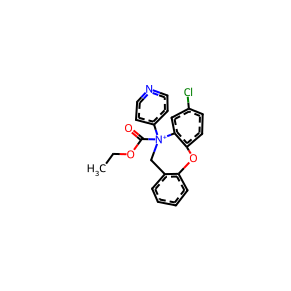 CCOC(=O)[N+]1(c2ccncc2)Cc2ccccc2Oc2ccc(Cl)cc21